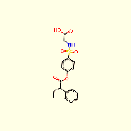 CCC(C(=O)Oc1ccc(S(=O)(=O)NCC(=O)O)cc1)c1ccccc1